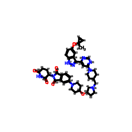 CC1(Oc2ccc3[nH]nc(-c4cc(N5CCC(CN6CC[C@H](OC7CCN(c8ccc9c(c8)C(=O)N(C8CCC(=O)NC8=O)C9=O)CC7)C6)CC5)ncn4)c3c2)CC1